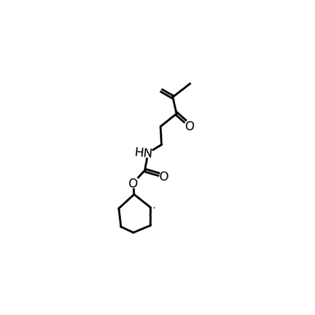 C=C(C)C(=O)CCNC(=O)OC1[CH]CCCC1